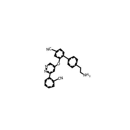 N#Cc1ccc(-c2ccc(CCN)cc2)c(Oc2cnnc(-c3ccccc3C#N)c2)c1